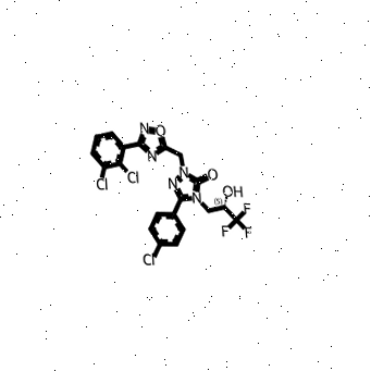 O=c1n(Cc2nc(-c3cccc(Cl)c3Cl)no2)nc(-c2ccc(Cl)cc2)n1C[C@H](O)C(F)(F)F